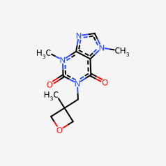 Cn1cnc2c1c(=O)n(CC1(C)COC1)c(=O)n2C